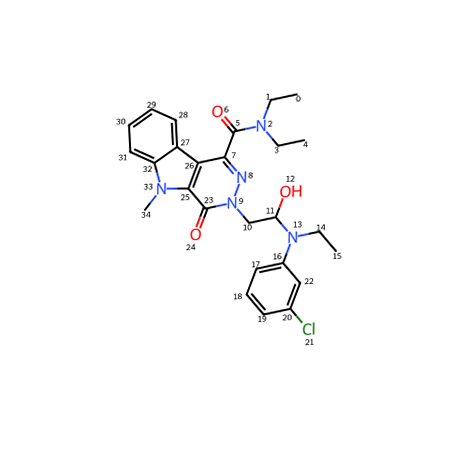 CCN(CC)C(=O)c1nn(CC(O)N(CC)c2cccc(Cl)c2)c(=O)c2c1c1ccccc1n2C